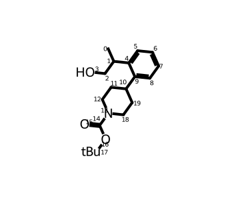 CC(CO)c1ccccc1C1CCN(C(=O)OC(C)(C)C)CC1